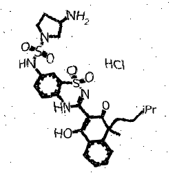 CC(C)CCC1(C)C(=O)C(C2=NS(=O)(=O)c3cc(NS(=O)(=O)N4CCC(N)C4)ccc3N2)=C(O)c2ccccc21.Cl